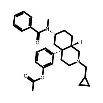 CC(=O)Oc1cccc([C@@]23CCN(CC4CC4)C[C@H]2CC[C@@H](N(C)C(=O)c2ccccc2)C3)c1